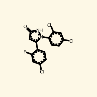 O=c1cc(-c2ccc(Cl)cc2F)n(-c2ccc(Cl)cc2Cl)[nH]1